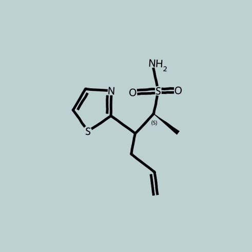 C=CCC(c1nccs1)[C@H](C)S(N)(=O)=O